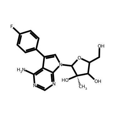 C[C@@]1(O)C(O)C(CO)OC1n1cc(-c2ccc(F)cc2)c2c(N)ncnc21